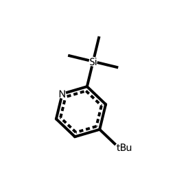 CC(C)(C)c1ccnc([Si](C)(C)C)c1